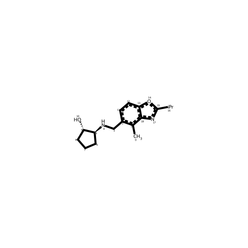 Cc1c(CN[C@H]2CCC[C@@H]2O)ccc2oc(C(C)C)nc12